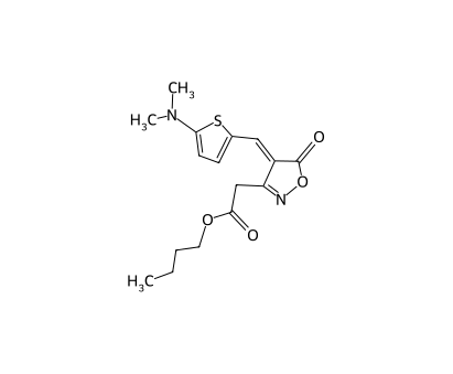 CCCCOC(=O)CC1=NOC(=O)/C1=C/c1ccc(N(C)C)s1